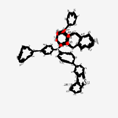 c1ccc(-c2ccc(N(c3ccc(-c4ccc5sc6ccccc6c5c4)cc3)c3ccc(-c4ccccc4)c4c3C3c5ccccc5C4c4ccccc43)cc2)cc1